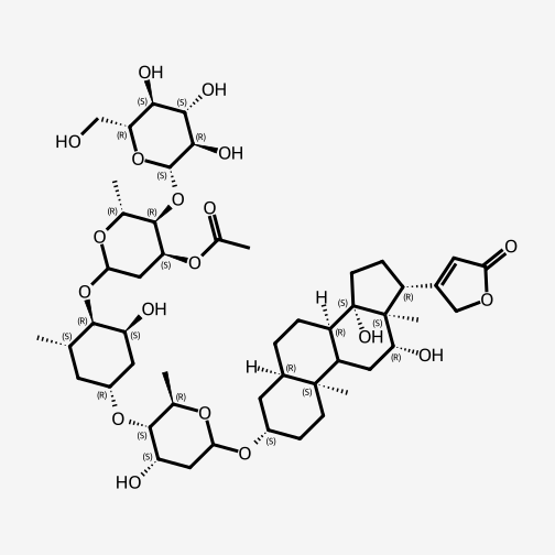 CC(=O)O[C@H]1CC(O[C@@H]2[C@@H](C)C[C@@H](O[C@H]3[C@@H](O)CC(O[C@H]4CC[C@]5(C)C6C[C@@H](O)[C@]7(C)[C@@H](C8=CC(=O)OC8)CC[C@]7(O)[C@@H]6CC[C@@H]5C4)O[C@@H]3C)C[C@@H]2O)O[C@H](C)[C@H]1O[C@@H]1O[C@H](CO)[C@@H](O)[C@H](O)[C@H]1O